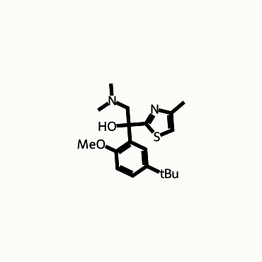 COc1ccc(C(C)(C)C)cc1C(O)(CN(C)C)c1nc(C)cs1